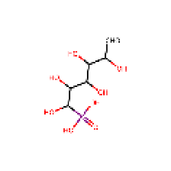 O=CC(O)C(O)C(O)C(O)C(O)P(=O)(O)O